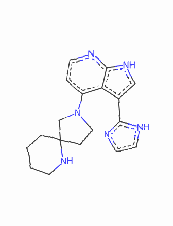 c1c[nH]c(-c2c[nH]c3nccc(N4CCC5(CCCCN5)C4)c23)n1